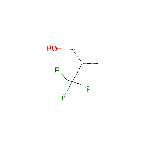 CC([CH]O)C(F)(F)F